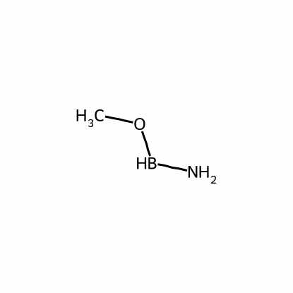 COBN